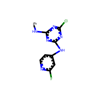 CC(C)Nc1nc(Cl)nc(Nc2ccnc(F)c2)n1